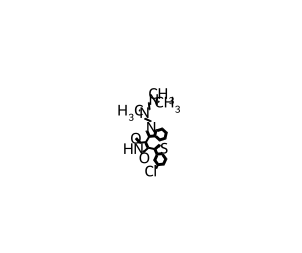 CN(C)CCN(C)CCn1cc(C2=C(c3csc4ccc(Cl)cc34)C(=O)NC2=O)c2ccccc21